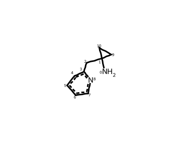 NC1(Cc2ccccn2)CC1